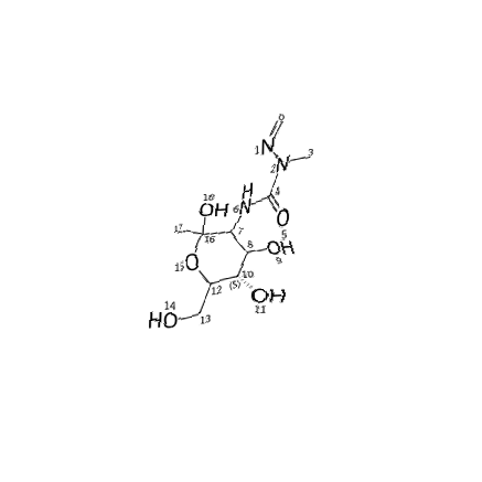 C=NN(C)C(=O)NC1C(O)[C@H](O)C(CO)OC1(C)O